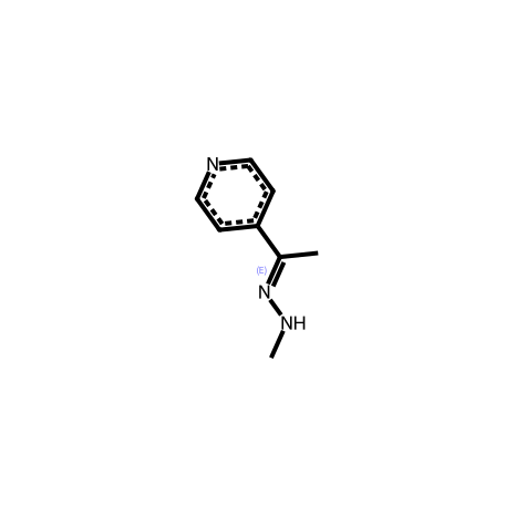 CN/N=C(\C)c1ccncc1